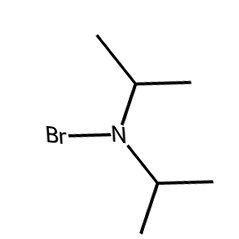 CC(C)N(Br)C(C)C